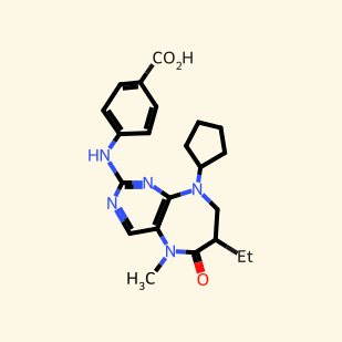 CCC1CN(C2CCCC2)c2nc(Nc3ccc(C(=O)O)cc3)ncc2N(C)C1=O